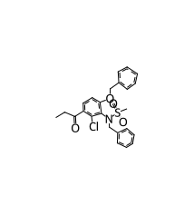 CCC(=O)c1ccc(OCc2ccccc2)c(N(Cc2ccccc2)S(C)(=O)=O)c1Cl